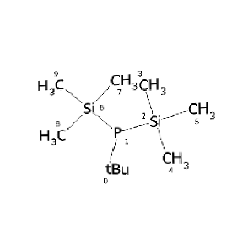 CC(C)(C)P([Si](C)(C)C)[Si](C)(C)C